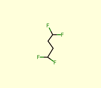 FC(F)CCC(F)F